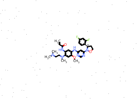 C=CC(=O)Nc1cc(Nc2cc(N3OCC[C@@H]3c3ccc(F)cc3F)ncn2)c(OC)cc1N(C)CCN(C)C